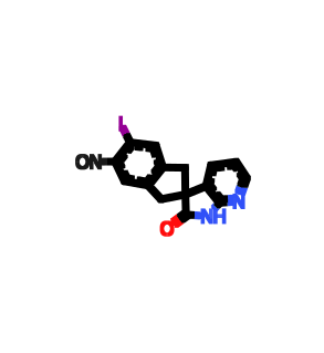 O=Nc1cc2c(cc1I)CC1(C2)C(=O)Nc2ncccc21